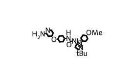 COc1ccc(-n2nc(C(C)(C)C)cc2NC(=O)Nc2ccc(Oc3ccnc(N)c3)cc2)cc1